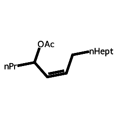 CCCCCCCC/C=C\C(CCC)OC(C)=O